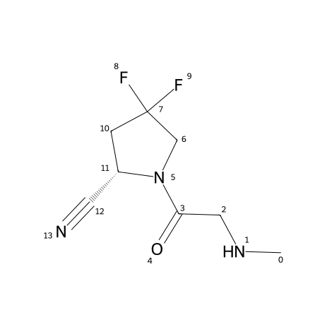 CNCC(=O)N1CC(F)(F)C[C@H]1C#N